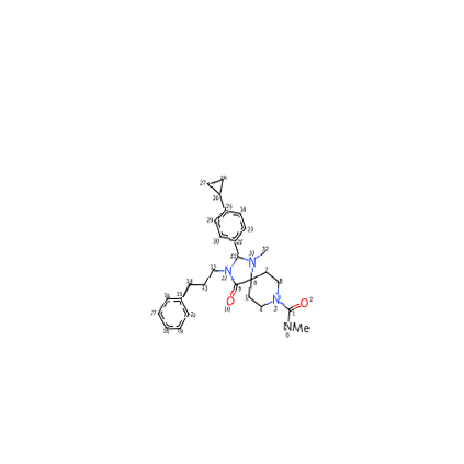 CNC(=O)N1CCC2(CC1)C(=O)N(CCCc1ccccc1)C(c1ccc(C3CC3)cc1)N2C